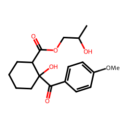 COc1ccc(C(=O)C2(O)CCCCC2C(=O)OCC(C)O)cc1